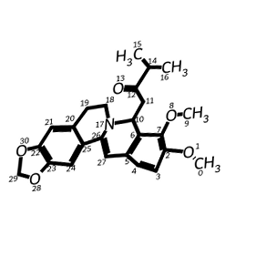 COc1ccc2c(c1OC)C(CC(=O)C(C)C)N1CCc3cc4c(cc3C1=C2)OCO4